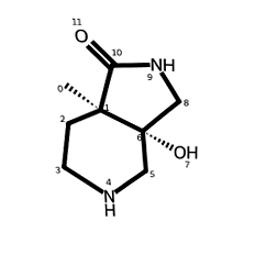 C[C@@]12CCNC[C@]1(O)CNC2=O